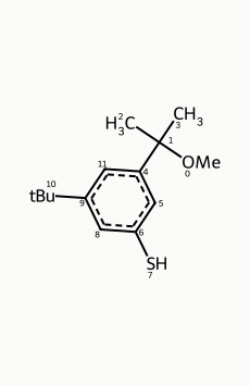 COC(C)(C)c1cc(S)cc(C(C)(C)C)c1